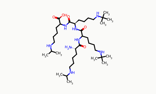 CC(C)NCCCCC(NC(=O)[C@@H](CCCCNC(C)(C)C)NC(=O)C(CCCCNC(C)(C)C)NC(=O)[C@@H](N)CCCCNC(C)C)C(=O)O